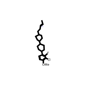 C/C=C/CCC1CCC(C2CCC(c3ccc(OC)c(Cl)c3F)CC2)CC1